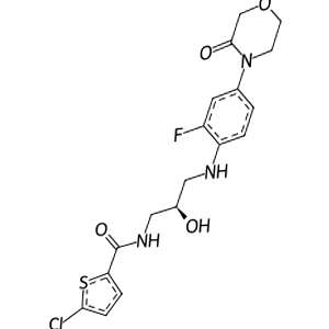 O=C(NC[C@H](O)CNc1ccc(N2CCOCC2=O)cc1F)c1ccc(Cl)s1